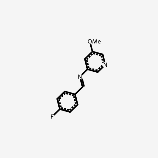 COc1cncc(/N=C/c2ccc(F)cc2)c1